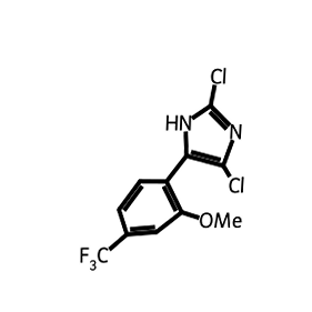 COc1cc(C(F)(F)F)ccc1-c1[nH]c(Cl)nc1Cl